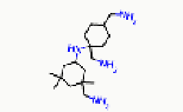 CC1(C)CC(NC2(CN)CCC(CN)CC2)CC(C)(CN)C1